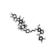 [2H]C1([2H])N(CC2CCN(CCCOc3cc4c(Nc5ccc(F)c(Cl)c5)ncnc4cc3OC)CC2)C([2H])([2H])C([2H])([2H])N(c2c(F)c(F)c3c(c2F)C(=O)N(C2CCC(=O)NC2=O)C3=O)C1([2H])[2H]